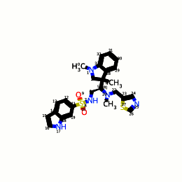 CN1CC(C)([C@H](CNS(=O)(=O)c2ccc3cc[nH]c3c2)N(C)Cc2cncs2)c2ccccc21